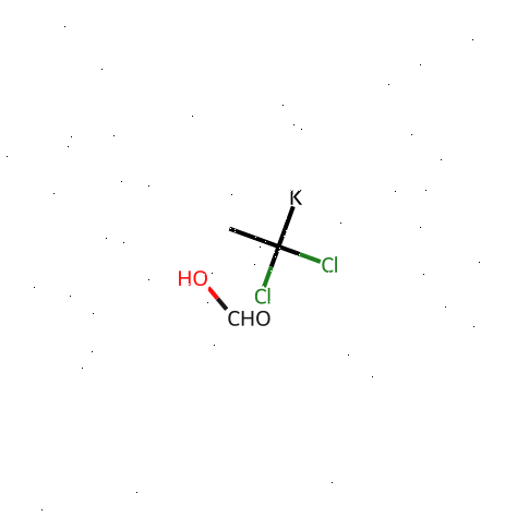 C[C](Cl)(Cl)[K].O=CO